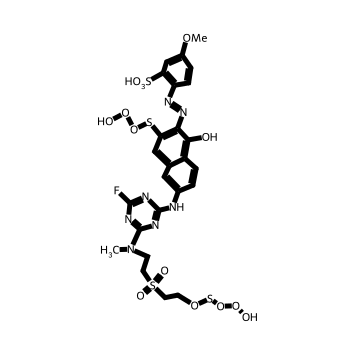 COc1ccc(/N=N/c2c(SOOO)cc3cc(Nc4nc(F)nc(N(C)CCS(=O)(=O)CCOSOOO)n4)ccc3c2O)c(S(=O)(=O)O)c1